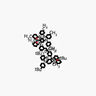 Cc1ccc(N2c3ccc(C)cc3B3c4cc(C)ccc4N(c4ccc(C)cc4)c4c3c2cc(N(c2ccccc2)c2cccc(CC(C)(C)c3ccc5c(c3)B3c6cc(C(C)(C)C)ccc6N(c6ccc(C(C)(C)C)cc6)c6ccc([Si](C)(C)c7ccccc7)c(c63)N5c3ccc(C(C)(C)C)cc3)c2)c4[Si](C)(C)C)cc1